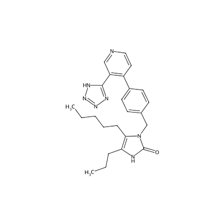 CCCCCc1c(CCC)[nH]c(=O)n1Cc1ccc(-c2ccncc2-c2nnn[nH]2)cc1